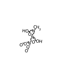 CCN(CCN(CCN(COC=O)COC=O)CC(=O)O)CC(=O)O